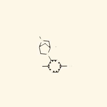 Cc1cnc(C)c(N2CC3C[C@H]2CN3C)n1